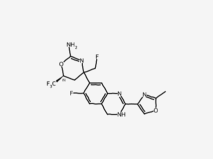 Cc1nc(C2=Nc3cc(C4(CF)C[C@@H](C(F)(F)F)OC(N)=N4)c(F)cc3CN2)co1